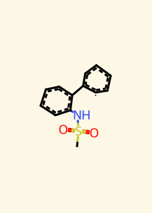 CS(=O)(=O)Nc1ccccc1-c1[c]cccc1